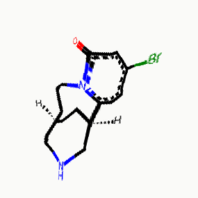 O=c1cc(Br)cc2n1C[C@@H]1CNC[C@H]2C1